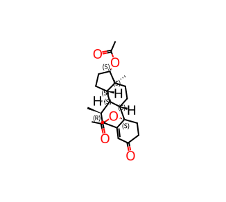 CC(=O)O[C@H]1CC[C@H]2[C@@H]3[C@H](C)CC4=CC(=O)CC[C@]4(OC(C)=O)[C@H]3CC[C@]12C